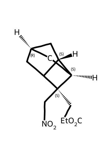 CCOC(=O)C[C@]1(C[N+](=O)[O-])C2C[C@H]3C[C@@H]2[C@@H]1C3